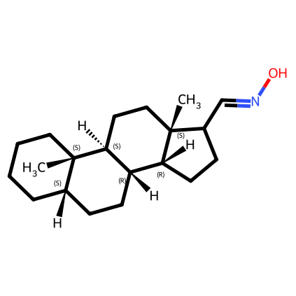 C[C@]12CCCC[C@H]1CC[C@H]1[C@H]3CCC(C=NO)[C@@]3(C)CC[C@@H]12